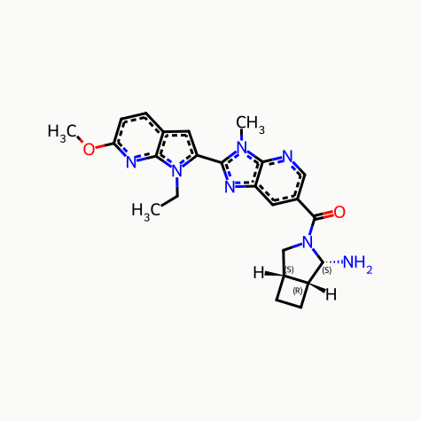 CCn1c(-c2nc3cc(C(=O)N4C[C@H]5CC[C@H]5[C@H]4N)cnc3n2C)cc2ccc(OC)nc21